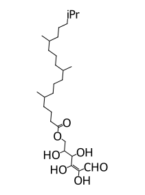 CC(C)CCCC(C)CCCC(C)CCCC(C)CCCC(=O)OCC(O)C(O)/C(O)=C(/O)C=O